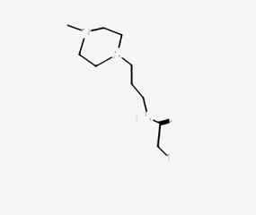 CN1CCN(CCCNC(=O)CI)CC1